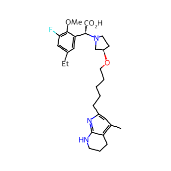 CCc1cc(F)c(OC)c([C@@H](C(=O)O)N2CC[C@@H](OCCCCCc3cc(C)c4c(n3)NCCC4)C2)c1